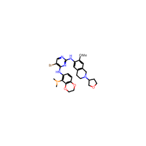 COc1cc2c(cc1Nc1ncc(Br)c(Nc3ccc4c(c3P(C)C)OCCO4)n1)CCN(C1CCOC1)C2